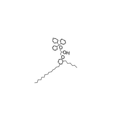 CCCCCCCCCCCCCCc1ccc(OCC(O)COC(c2ccccc2)(c2ccccc2)c2ccccc2)c(CCCCCC)c1